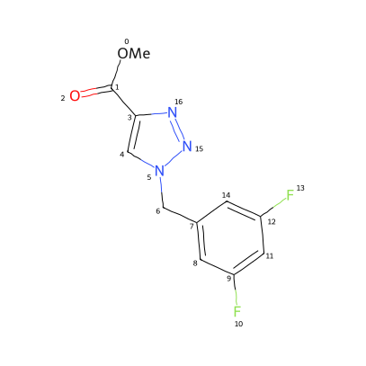 COC(=O)c1cn(Cc2cc(F)cc(F)c2)nn1